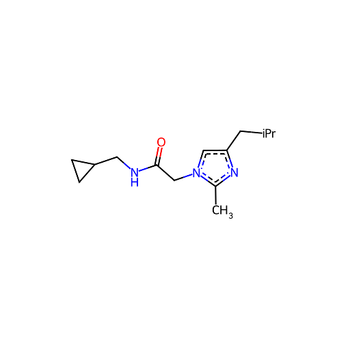 Cc1nc(CC(C)C)cn1CC(=O)NCC1CC1